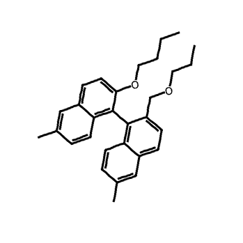 CCCCOc1ccc2cc(C)ccc2c1-c1c(COCCC)ccc2cc(C)ccc12